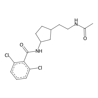 CC(=O)NCCC1CCC(NC(=O)c2c(Cl)cccc2Cl)C1